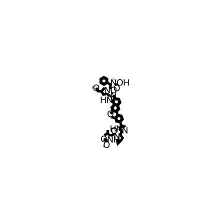 COCC1CC(c2nc3ccc4cc5c(cc4c3[nH]2)OCc2cc(-c3cnc(C4CC6CC6N4C(=O)C(NC(=O)OC)C(C)C)[nH]3)ccc2-5)N(C(=O)C(c2ccccc2)N(C)C(=O)O)C1